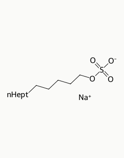 CCCCCCCCCCCCOS(=O)(=O)[O-].[Na+]